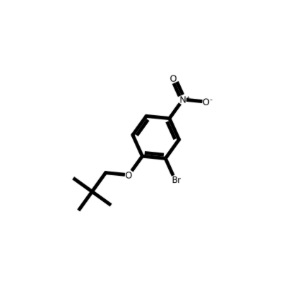 CC(C)(C)COc1ccc([N+](=O)[O-])cc1Br